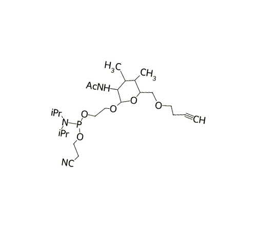 C#CCCOCC1OC(OCCOP(OCCC#N)N(C(C)C)C(C)C)C(NC(C)=O)C(C)C1C